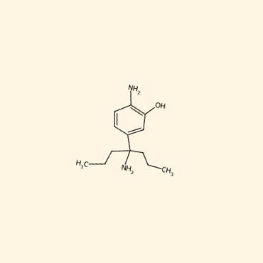 CCCC(N)(CCC)c1ccc(N)c(O)c1